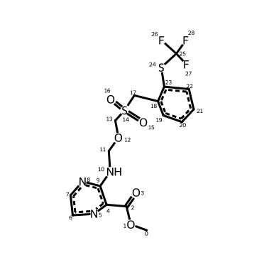 COC(=O)c1nccnc1NCOCS(=O)(=O)Cc1ccccc1SC(F)(F)F